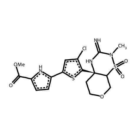 COC(=O)c1ccc(-c2cc(Cl)c([C@]34CCOCC3S(=O)(=O)N(C)C(=N)N4)s2)[nH]1